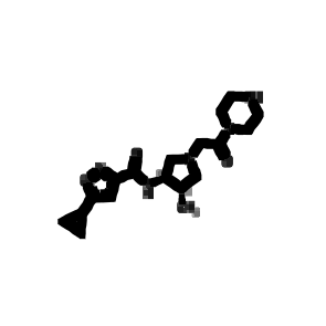 C[C@H]1CN(CC(=O)N2CCNCC2)C[C@@H]1NC(=O)c1cc(C2CC2)on1